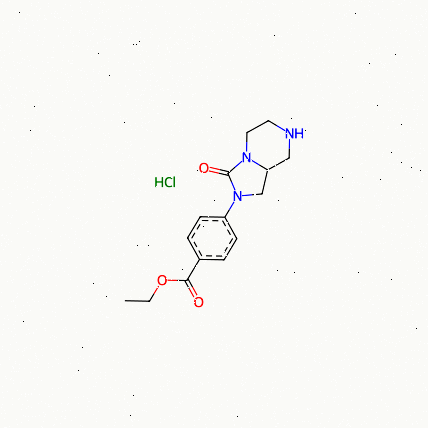 CCOC(=O)c1ccc(N2CC3CNCCN3C2=O)cc1.Cl